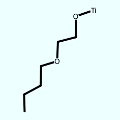 CCCCOCC[O][Ti]